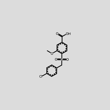 COc1cc(C(=O)O)ccc1S(=O)(=O)Cc1ccc(Cl)cc1